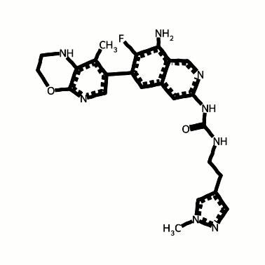 Cc1c(-c2cc3cc(NC(=O)NCCc4cnn(C)c4)ncc3c(N)c2F)cnc2c1NCCO2